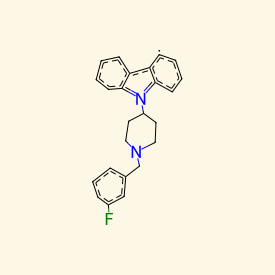 Fc1cccc(CN2CCC(n3c4ccc[c]c4c4ccccc43)CC2)c1